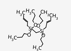 CC=CC[Si](C[Si](CC=CC)(OCCC)OCCC)(OCCC)OCCC